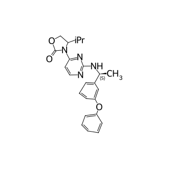 CC(C)C1COC(=O)N1c1ccnc(N[C@@H](C)c2cccc(Oc3ccccc3)c2)n1